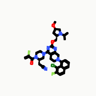 C=C(F)C(=O)N1CCN(c2nc(OC[C@@H]3C[C@@H](OC)CN3C(C)C)nc3c2CCN(c2cccc4ccc(F)c(Cl)c24)C3)C[C@@H]1CC#N